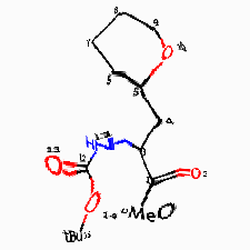 COC(=O)C(CC1CCCCO1)NC(=O)OC(C)(C)C